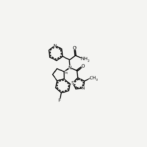 Cc1ncsc1C(=O)N(C(C(N)=O)c1cccnc1)[C@@H]1CCc2cc(F)ccc21